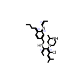 C\C=C/N=C1/C=C(CNC(=C/C)/C(=C(/Cl)C=C(C)C)N2CCNC(C)C2)C=C/C1=C\CCC